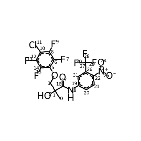 CC(O)(COc1c(F)c(F)c(Cl)c(F)c1F)C(=O)Nc1ccc([N+](=O)[O-])c(C(F)(F)F)c1